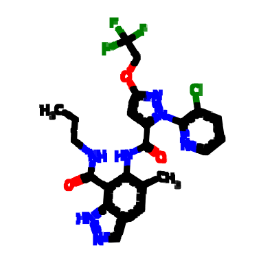 CCCNC(=O)c1c(NC(=O)c2cc(OCC(F)(F)F)nn2-c2ncccc2Cl)c(C)cc2cn[nH]c12